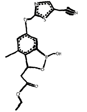 CCOC(=O)CC1OB(O)c2cc(Oc3ncc(C#N)s3)cc(C)c21